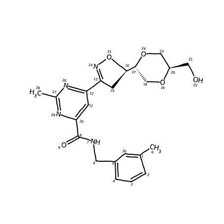 Cc1cccc(CNC(=O)c2cc(C3=NO[C@@H]([C@H]4CO[C@H](CO)CO4)C3)nc(C)n2)c1